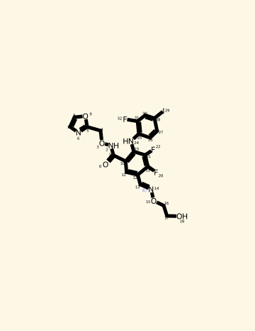 O=C(NOCc1ncco1)c1cc(/C=N/OCCO)c(F)c(F)c1Nc1ccc(I)cc1F